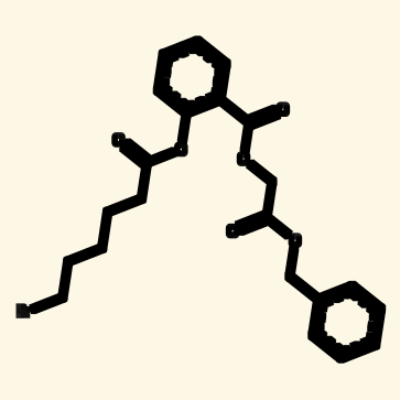 O=C(COC(=O)c1ccccc1OC(=O)CCCCCBr)OCc1ccccc1